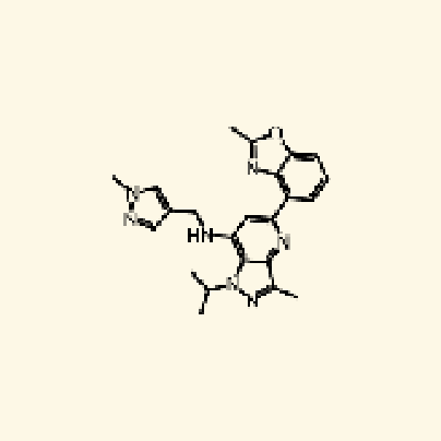 Cc1nc2c(-c3cc(NCc4cnn(C)c4)c4c(n3)c(C)nn4C(C)C)cccc2o1